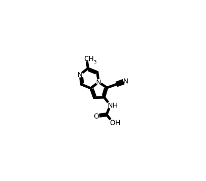 Cc1cn2c(C#N)c(NC(=O)O)cc2cn1